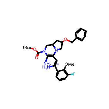 COc1c(F)cccc1/C(N)=C/C1=C(N)N(C(=O)OC(C)(C)C)CC2CC(OCc3ccccc3)CN12